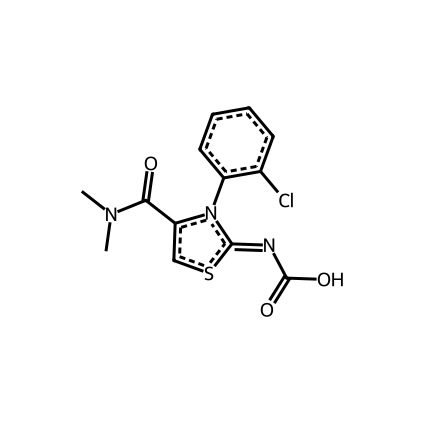 CN(C)C(=O)c1csc(=NC(=O)O)n1-c1ccccc1Cl